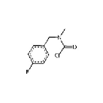 CN(Cc1ccc(F)cc1)C(=O)Cl